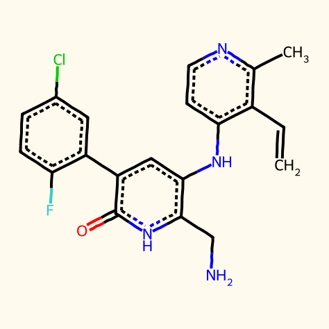 C=Cc1c(Nc2cc(-c3cc(Cl)ccc3F)c(=O)[nH]c2CN)ccnc1C